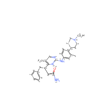 Cc1cc(Nc2ncc(C(F)(F)F)c(C(CC(N)=O)Cc3ccccc3)n2)ccc1C1CCN(C(=O)O)CC1